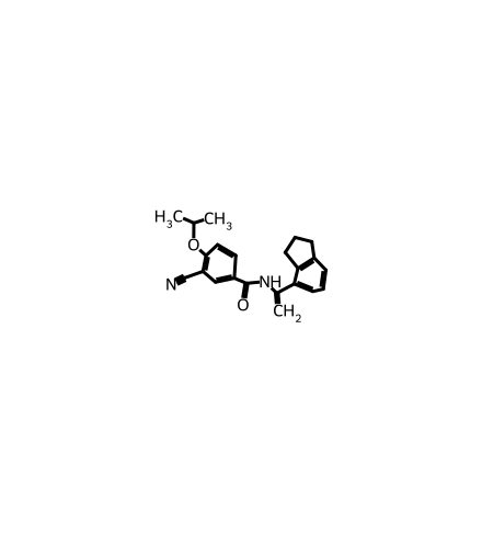 C=C(NC(=O)c1ccc(OC(C)C)c(C#N)c1)c1cccc2c1CCC2